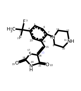 CC(F)(F)c1ccc(N2CCNCC2)c(/C=C2\SC(=O)NC2=O)c1